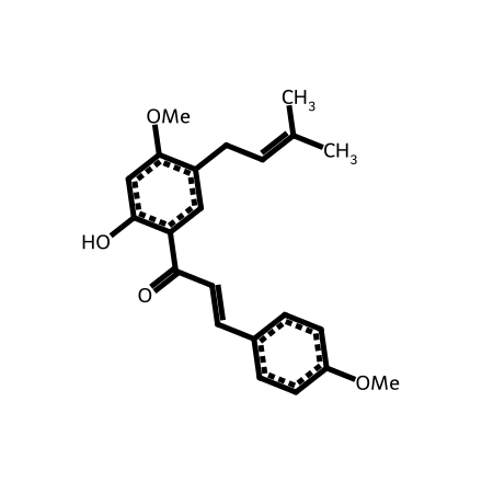 COc1ccc(/C=C/C(=O)c2cc(CC=C(C)C)c(OC)cc2O)cc1